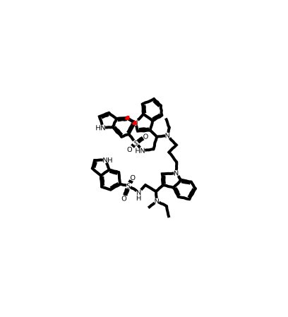 CCN(C)C(CNS(=O)(=O)c1ccc2cc[nH]c2c1)c1cn(CCCN(CC)C(CNS(=O)(=O)c2ccc3cc[nH]c3c2)c2cn(C)c3ccccc23)c2ccccc12